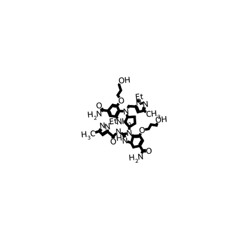 CCn1nc(C)cc1CN(c1c(N)cc(C(N)=O)cc1OCCCO)C1CCC(N2C(NC(=O)c3cc(C)nn3CC)=NC3CC(C(N)=O)=CC(OCCCO)=C32)C1